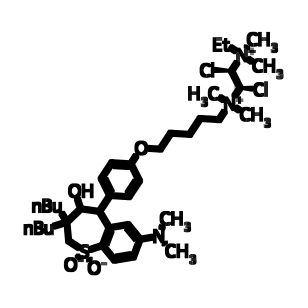 CCCCC1(CCCC)CS([O-])([O-])c2ccc(N(C)C)cc2C(c2ccc(OCCCCC[N+](C)(C)[C@H](Cl)[C@@H](Cl)[N+](C)(C)CC)cc2)C1O